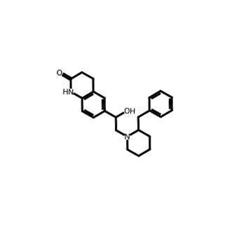 O=C1CCc2cc(C(O)CN3CCCCC3Cc3ccccc3)ccc2N1